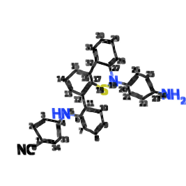 N#Cc1ccc(Nc2ccccc2-c2cccc3c2SN(c2ccc(N)cc2)c2ccccc2-3)cc1